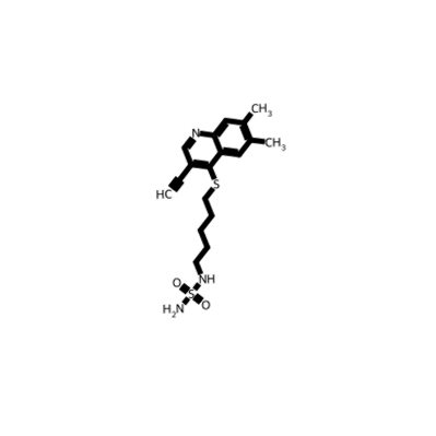 C#Cc1cnc2cc(C)c(C)cc2c1SCCCCCNS(N)(=O)=O